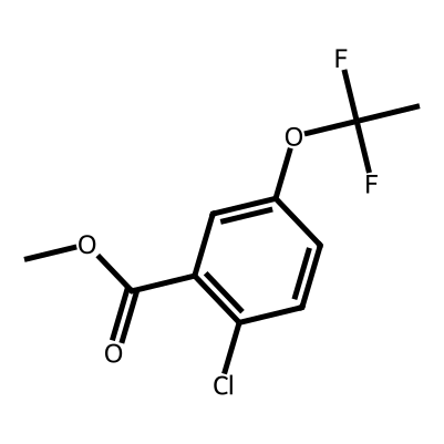 COC(=O)c1cc(OC(C)(F)F)ccc1Cl